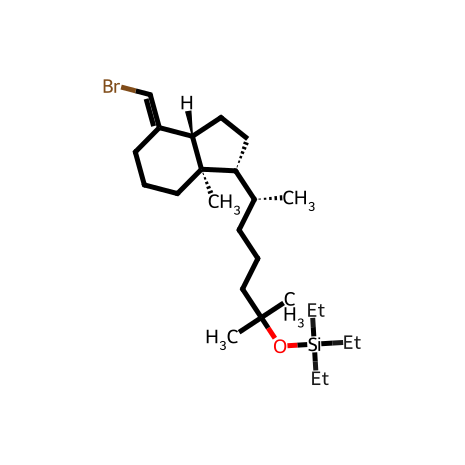 CC[Si](CC)(CC)OC(C)(C)CCC[C@@H](C)[C@H]1CC[C@H]2/C(=C/Br)CCC[C@]12C